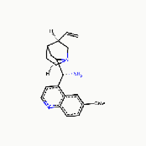 C=C[C@H]1CN2CCC1C[C@@H]2[C@H](N)c1ccnc2ccc(OC)cc12